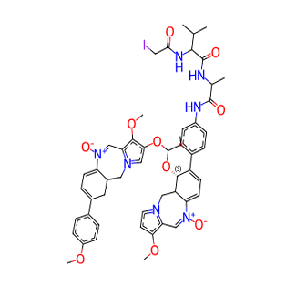 CCC(Oc1cn2c(c1OC)C=[N+]([O-])C1=CC=C(c3ccc(OC)cc3)CC1C2)O[C@@H]1C(c2ccc(NC(=O)C(C)NC(=O)C(NC(=O)CI)C(C)C)cc2)=CC=C2C1Cn1ccc(OC)c1C=[N+]2[O-]